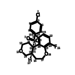 O=S(=O)(c1ccc(Cl)cc1)[C@@]12CCOC[C@@H]1CCOc1c(F)ccc(F)c12